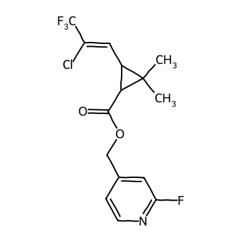 CC1(C)C(C=C(Cl)C(F)(F)F)C1C(=O)OCc1ccnc(F)c1